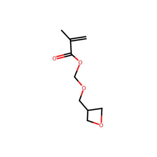 C=C(C)C(=O)OCOCC1COC1